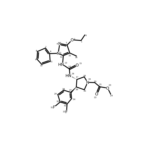 CCOc1nn(-c2ccccc2)c(NC(=O)N[C@@H]2CN(CC(=O)OC)C[C@H]2c2ccc(F)c(F)c2)c1C